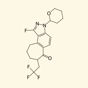 O=C1c2ccc3c(c(F)nn3C3CCCCO3)c2CCCC1CC(F)(F)F